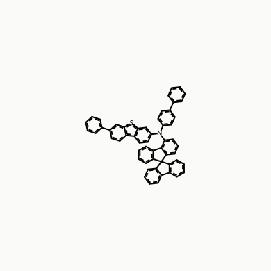 c1ccc(-c2ccc(N(c3ccc4c(c3)sc3cc(-c5ccccc5)ccc34)c3cccc4c3-c3ccccc3C43c4ccccc4-c4ccccc43)cc2)cc1